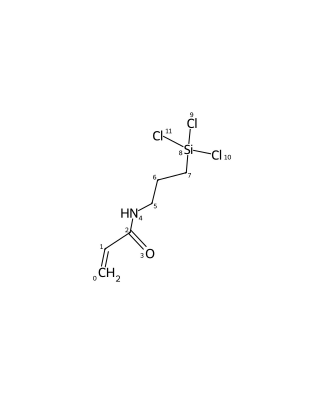 C=CC(=O)NCCC[Si](Cl)(Cl)Cl